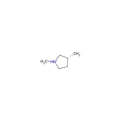 [CH2-][NH+]1CC[C@@H](C)C1